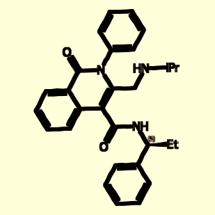 CC[C@H](NC(=O)c1c(CNC(C)C)n(-c2ccccc2)c(=O)c2ccccc12)c1ccccc1